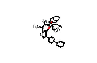 CC(=O)c1c(C2CC3CCC(C2)N3C(=O)C(C)(CO)CO)nc2c(-c3ccc(-c4ccccc4)nc3)cnn2c1N